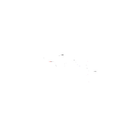 COc1ccc(CNC(=O)C(C)OC)cc1